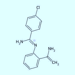 C=C(N)c1ccccc1/N=C(\N)c1ccc(Cl)cc1